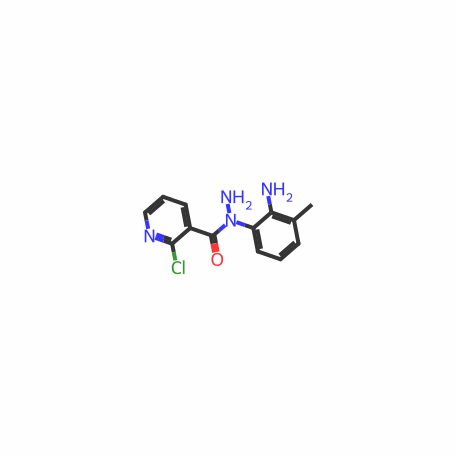 Cc1cccc(N(N)C(=O)c2cccnc2Cl)c1N